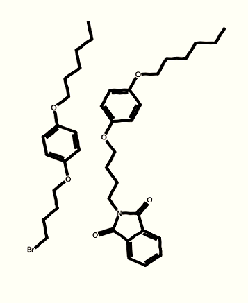 CCCCCCOc1ccc(OCCCCBr)cc1.CCCCCCOc1ccc(OCCCCN2C(=O)c3ccccc3C2=O)cc1